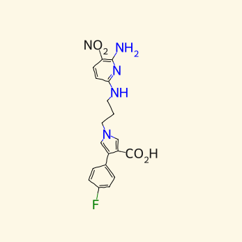 Nc1nc(NCCCn2cc(C(=O)O)c(-c3ccc(F)cc3)c2)ccc1[N+](=O)[O-]